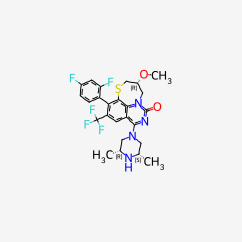 CO[C@H]1CSc2c(-c3ccc(F)cc3F)c(C(F)(F)F)cc3c(N4C[C@@H](C)N[C@@H](C)C4)nc(=O)n(c23)C1